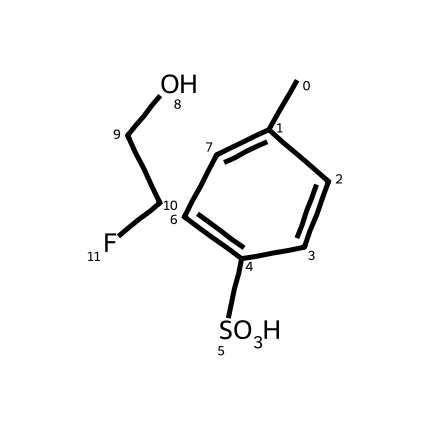 Cc1ccc(S(=O)(=O)O)cc1.OCCF